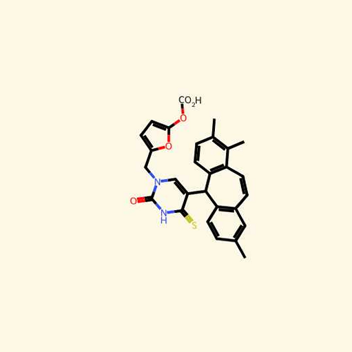 Cc1ccc2c(c1)C=Cc1c(ccc(C)c1C)C2c1cn(Cc2ccc(OC(=O)O)o2)c(=O)[nH]c1=S